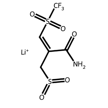 NC(=O)C(=CS(=O)(=O)C(F)(F)F)C[S-](=O)=O.[Li+]